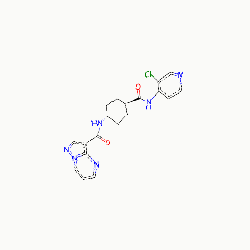 O=C(N[C@H]1CC[C@H](C(=O)Nc2ccncc2Cl)CC1)c1cnn2cccnc12